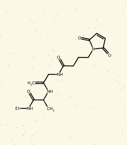 C=C(CNC(=O)CCCN1C(=O)C=CC1=O)NC(C)C(=O)NCC